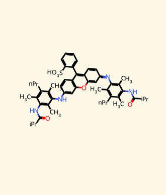 CCCc1c(C)c(/N=c2/ccc3c(-c4ccccc4S(=O)(=O)O)c4ccc(Nc5c(C)c(CCC)c(C)c(NC(=O)C(C)C)c5C)cc4oc-3c2)c(C)c(NC(=O)C(C)C)c1C